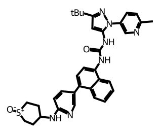 Cc1ccc(-n2nc(C(C)(C)C)cc2NC(=O)Nc2ccc(-c3ccc(NC4CC[S+]([O-])CC4)nc3)c3ccccc23)cn1